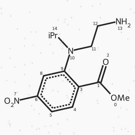 COC(=O)c1ccc([N+](=O)[O-])cc1N(CCN)C(C)C